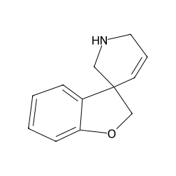 C1=CC2(CNC1)COc1ccccc12